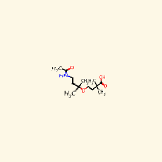 CC(=O)NCCC(C)(C)OCCC(C)(C)C(=O)O